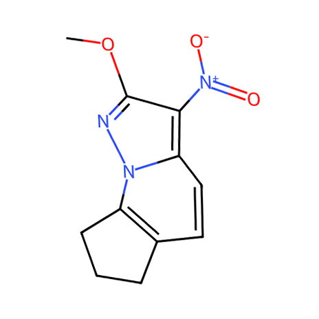 COc1nn2c3c(ccc2c1[N+](=O)[O-])CCC3